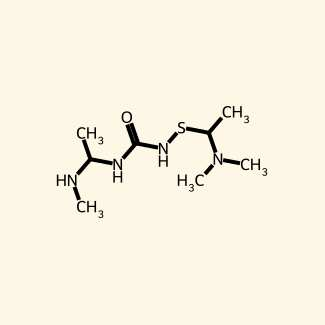 CNC(C)NC(=O)NSC(C)N(C)C